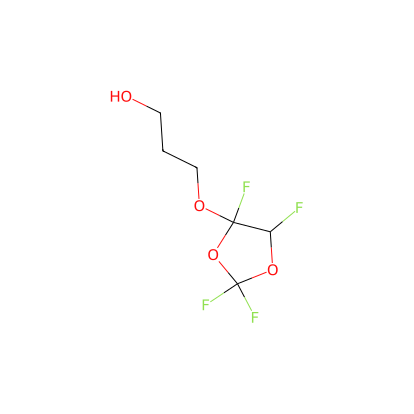 OCCCOC1(F)OC(F)(F)OC1F